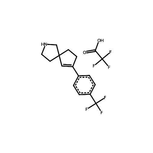 FC(F)(F)c1ccc(C2=CC3(CCNC3)CC2)cc1.O=C(O)C(F)(F)F